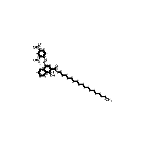 CCCCCCCCCCCCCCCCCCNC(=O)c1cc(N=Nc2ccc([N+](=O)[O-])cc2[N+](=O)[O-])c2ccccc2c1O